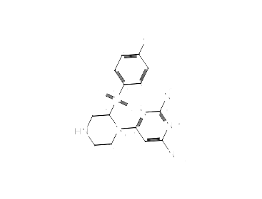 Cc1ccc(S(=O)(=O)C2CNCCN2c2cc(N)nc(N)n2)cc1